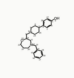 Oc1ccc(C2CCN(CC3CN(Cc4ccccc4)CCCO3)CC2)cc1